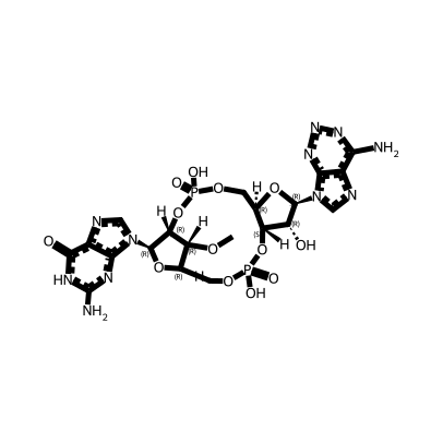 CO[C@H]1[C@H]2OP(=O)(O)OC[C@H]3O[C@@H](n4cnc5c(N)nnnc54)[C@H](O)[C@@H]3OP(=O)(O)OC[C@H]1O[C@H]2n1cnc2c(=O)[nH]c(N)nc21